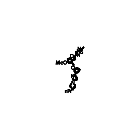 CCCN1CCN(c2ccc(-c3cccc(OCc4cc(OC)cc5oc(-c6cn7nc(C)sc7n6)cc45)c3)nc2)CC1